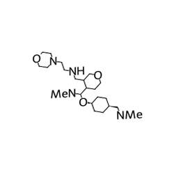 CNC[C@H]1CC[C@@H](OC(NC)C2CCOCC2CNCCN2CCOCC2)CC1